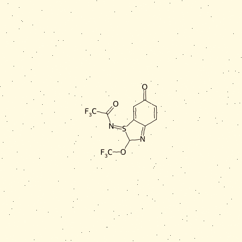 O=C1C=CC2=NC(OC(F)(F)F)S(=NC(=O)C(F)(F)F)C2=C1